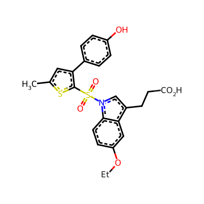 CCOc1ccc2c(c1)c(CCC(=O)O)cn2S(=O)(=O)c1sc(C)cc1-c1ccc(O)cc1